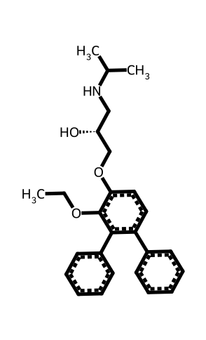 CCOc1c(OC[C@H](O)CNC(C)C)ccc(-c2ccccc2)c1-c1ccccc1